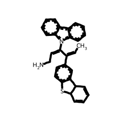 C/C=C(\C(=C/CN)n1c2ccccc2c2ccccc21)c1ccc2c(c1)C1C=CC=CC1S2